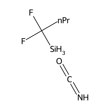 CCCC(F)(F)[SiH3].N=C=O